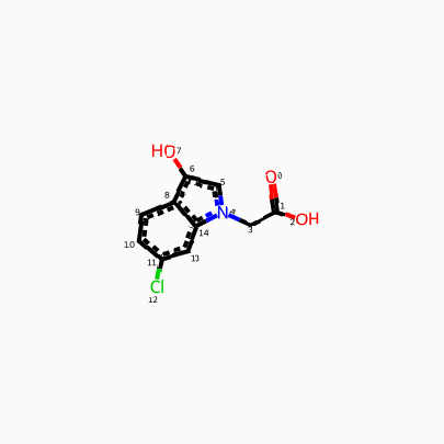 O=C(O)Cn1cc(O)c2ccc(Cl)cc21